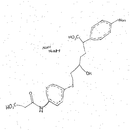 CCCCCCCCCc1ccc(C(CCC(O)CSc2ccc(NC(=O)CC(=O)O)cc2)C(=O)O)cc1.[NaH].[NaH]